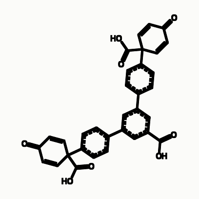 O=C1C=CC(C(=O)O)(c2ccc(-c3cc(C(=O)O)cc(-c4ccc(C5(C(=O)O)C=CC(=O)C=C5)cc4)c3)cc2)C=C1